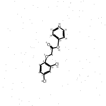 O=C(COc1ccc(Cl)cc1Cl)Oc1ccncc1